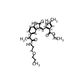 CCCOCCNC(=O)[C@@H](C)c1ccc2c(c1)/C(=C/c1[nH]c(C)cc1C(=O)OCC)C(=O)N2